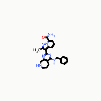 Cc1nn2c(C(N)=O)cccc2c1-c1nc2c(c(NCc3ccccc3)n1)CCCNC2